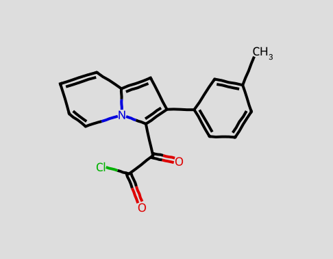 Cc1cccc(-c2cc3ccccn3c2C(=O)C(=O)Cl)c1